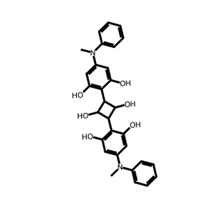 CN(c1ccccc1)c1cc(O)c(C2C(O)C(c3c(O)cc(N(C)c4ccccc4)cc3O)C2O)c(O)c1